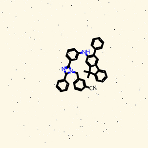 CC1(C)c2ccccc2-c2cc(-c3ccccc3)c(Nc3cccc(C4=NC(c5ccccc5)N4Cc4cccc(C#N)c4)c3)cc21